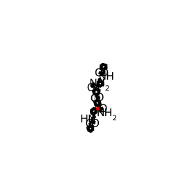 NC(=O)N(c1ccc(S(=O)(=O)c2ccc(N(C(N)=O)c3cccc(CNC(=O)Oc4ccccc4)c3)cc2)cc1)c1cccc(CNC(=O)Oc2ccccc2)c1